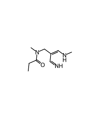 CCC(=O)N(C)C/C(C=N)=C/NC